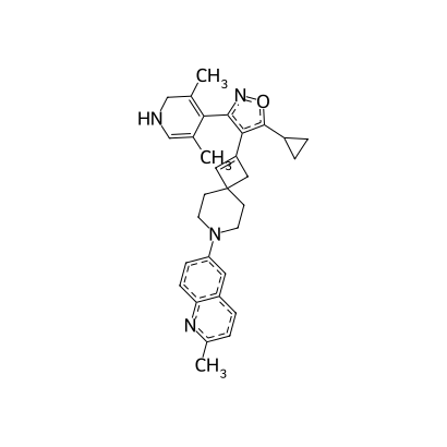 CC1=CNCC(C)=C1c1noc(C2CC2)c1C1=CC2(CCN(c3ccc4nc(C)ccc4c3)CC2)C1